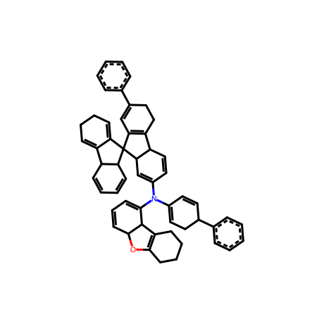 C1=CC2OC3=C(CCCC3)C2C(N(C2=CCC(c3ccccc3)C=C2)C2=CC3C(C=C2)C2=C(C=C(c4ccccc4)CC2)C32C3=CCCC=C3C3C=CC=CC32)=C1